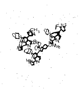 COc1ccc2c(c1)cc(-c1cc(N3CCOCC3)nc3c(-c4ccn[nH]4)nccc13)n2C(=O)OC(C)(C)C.Cn1cc(-c2cc(N3CCOCC3)nc3c(-c4ccn[nH]4)nccc23)cn1.Fc1ccc(-c2cc(N3CCOCC3)nc3c(-c4ccn[nH]4)nccc23)c(F)n1